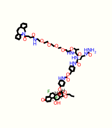 CCCC1O[C@@H]2CC3[C@@H]4C[C@H](F)C5=CC(=O)C=C[C@]5(C)[C@@]4(F)[C@@H](O)C[C@]3(C)[C@]2(C(=O)COc2ccc(NC(=O)OCc3ccc(NC(=O)[C@H](CCCNC(N)=O)NC(=O)[C@@H](NC(=O)CCOCCOCCOCCOCCNC(=O)CCC(=O)N4Cc5ccccc5/C=C\c5ccccc54)C(C)C)cc3)cc2)O1